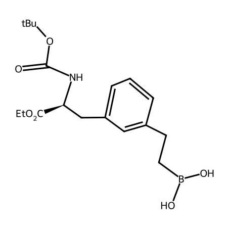 CCOC(=O)[C@H](Cc1cccc(CCB(O)O)c1)NC(=O)OC(C)(C)C